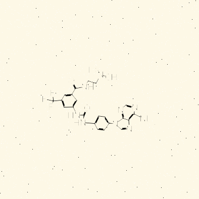 CN(C)CCNC(=O)c1cc(NC(=O)Nc2ccc(-n3cnc4c(N)ncnc43)cc2)cc(C(F)(F)F)c1